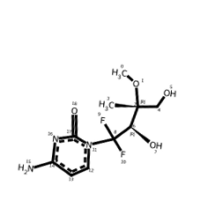 CO[C@](C)(CO)[C@@H](O)C(F)(F)n1ccc(N)nc1=O